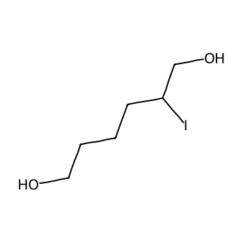 OCCCCC(I)CO